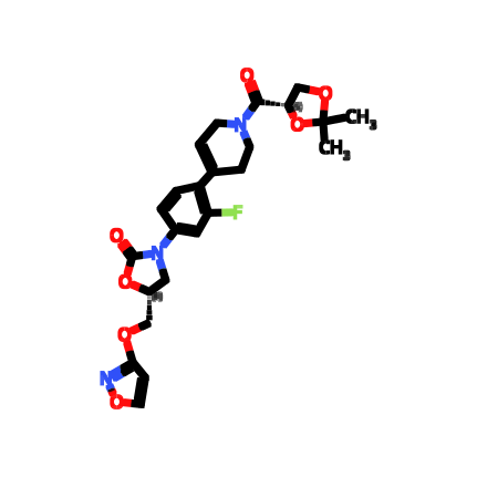 CC1(C)OC[C@@H](C(=O)N2CC=C(c3ccc(N4C[C@H](COc5ccon5)OC4=O)cc3F)CC2)O1